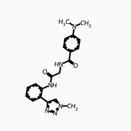 CN(C)c1ccc(C(=O)NCC(=O)Nc2ccccc2-c2cn(C)nn2)cc1